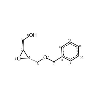 OC[C@@H]1O[C@H]1COCc1ccccc1